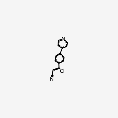 N#CC=C(Cl)c1ccc(-c2ccncc2)cc1